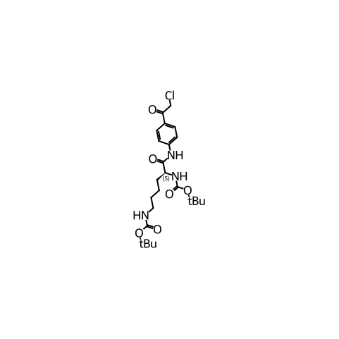 CC(C)(C)OC(=O)NCCCC[C@H](NC(=O)OC(C)(C)C)C(=O)Nc1ccc(C(=O)CCl)cc1